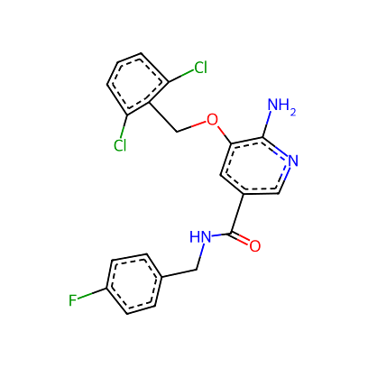 Nc1ncc(C(=O)NCc2ccc(F)cc2)cc1OCc1c(Cl)cccc1Cl